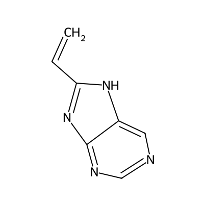 C=Cc1nc2ncncc2[nH]1